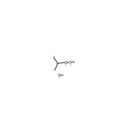 CC(C)O.[Sm].[Sm]